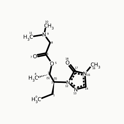 CC[C@@H]([C@H](C)OC(=O)CN(C)C)n1ncn(C)c1=O